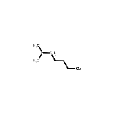 CN(C)[SiH2]CCCC(C)(C)C